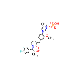 COc1cc(C=C2CCCN([C@H](c3cc(F)c(F)c(F)c3)[C@@H](C)O)C2=O)ccc1-n1cc(C)[n+](COP(=O)([O-])O)c1